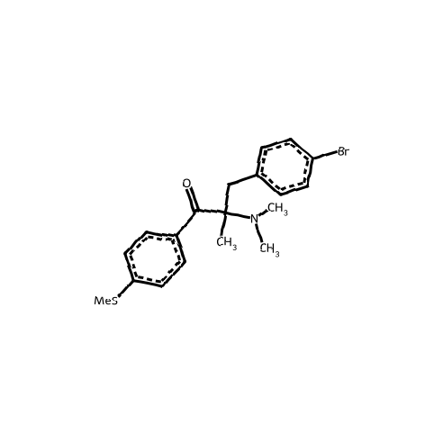 CSc1ccc(C(=O)C(C)(Cc2ccc(Br)cc2)N(C)C)cc1